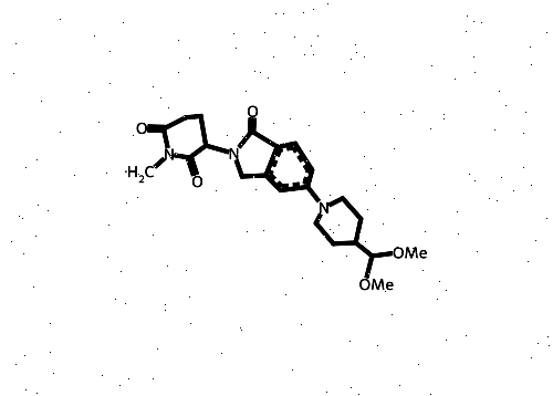 [CH2]N1C(=O)CCC(N2Cc3cc(N4CCC(C(OC)OC)CC4)ccc3C2=O)C1=O